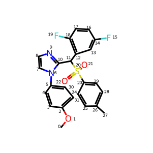 COc1ccc(-n2ccnc2C(c2cc(F)ccc2F)S(=O)(=O)c2ccc(C)cc2)cc1